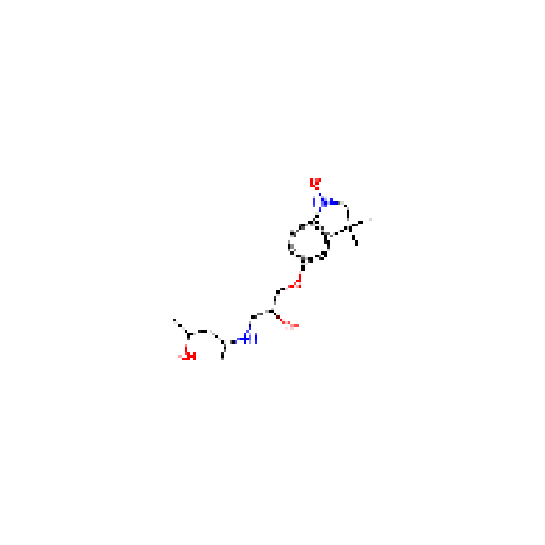 CC(O)CC(C)NCC(O)COc1ccc2c(c1)C(C)(C)C[NH+]2[O-]